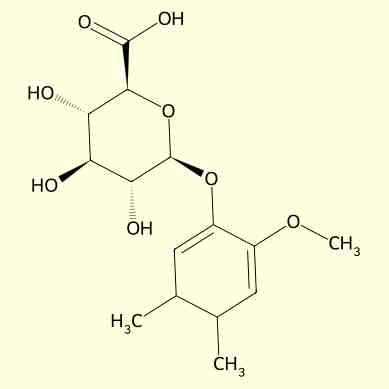 COC1=CC(C)C(C)C=C1O[C@@H]1O[C@H](C(=O)O)[C@@H](O)[C@H](O)[C@H]1O